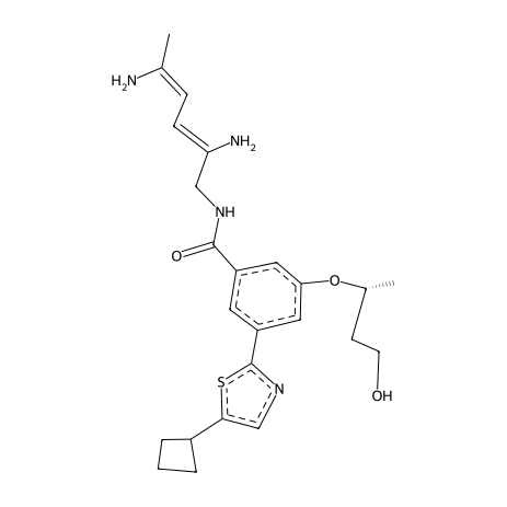 C/C(N)=C/C=C(\N)CNC(=O)c1cc(O[C@H](C)CCO)cc(-c2ncc(C3CCC3)s2)c1